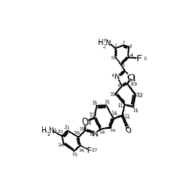 Nc1ccc(F)c(-c2nc3cc(C(=O)c4ccc5oc(-c6cc(N)ccc6F)nc5c4)ccc3o2)c1